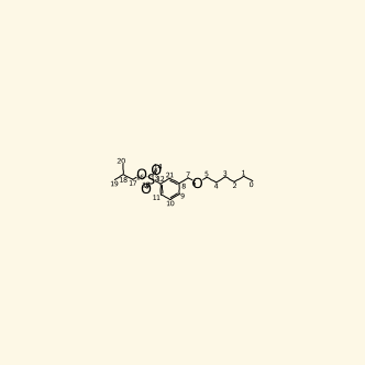 CCCCCCOCc1cccc(S(=O)(=O)OCC(C)C)c1